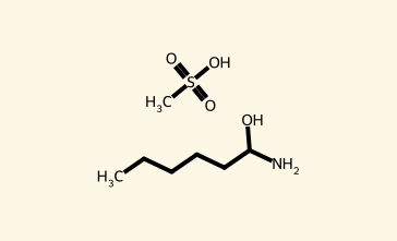 CCCCCC(N)O.CS(=O)(=O)O